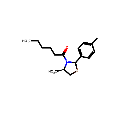 Cc1ccc(C2SC[C@@H](C(=O)O)N2C(=O)CCCCC(=O)O)cc1